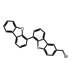 BrCc1ccc2sc3c(-c4cccc5c4oc4ccccc45)cccc3c2c1